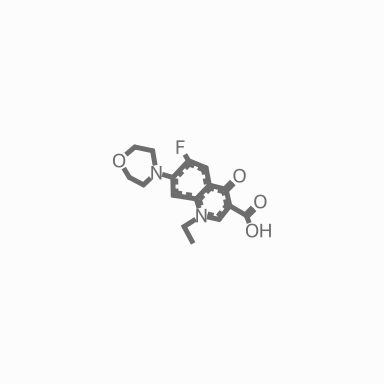 CCn1cc(C(=O)O)c(=O)c2cc(F)c(N3CCOCC3)cc21